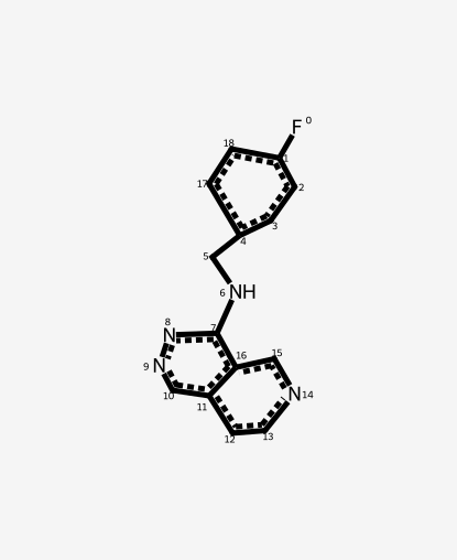 Fc1ccc(CNc2nncc3ccncc23)cc1